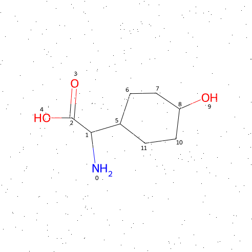 NC(C(=O)O)C1CCC(O)CC1